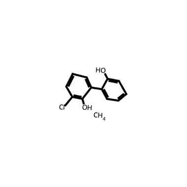 C.Oc1ccccc1-c1cccc(Cl)c1O